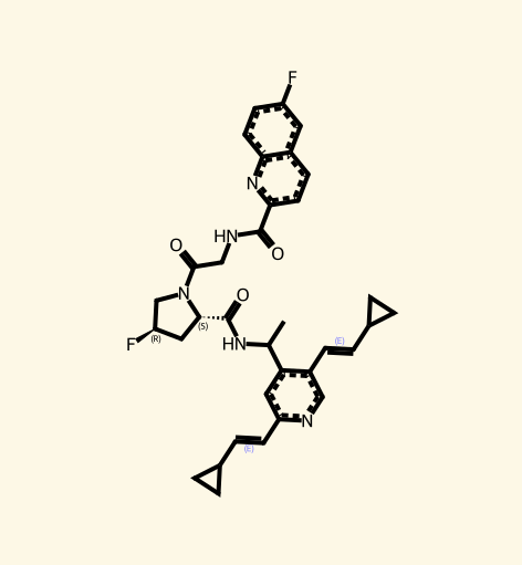 CC(NC(=O)[C@@H]1C[C@@H](F)CN1C(=O)CNC(=O)c1ccc2cc(F)ccc2n1)c1cc(/C=C/C2CC2)ncc1/C=C/C1CC1